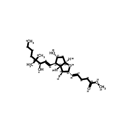 CCCCC(C)(C)[C@H](O)/C=C/[C@@H]1[C@H]2[C@H](F)[C@@H](/C=C/CCC(=O)OC)O[C@@H]2C[C@H]1O